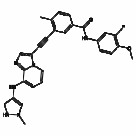 COc1ccc(NC(=O)c2ccc(C)c(C#Cc3cnc4c(NC5=CN(C)NC5)cccn34)c2)cc1F